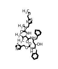 COCc1nc(CN(C)C(=O)N[C@H](C(=O)N[C@@H](Cc2ccccc2)C[C@H](O)[C@H](Cc2ccccc2)NC(=O)OCc2cncs2)C(C)C)cs1